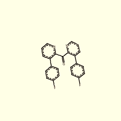 O=C(c1ncccc1-c1ccc(F)cc1)c1ncccc1-c1ccc(F)cc1